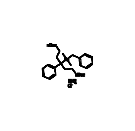 CCCCCCCCCCCC[C](CCCCCCCCCCCC)(c1ccccc1)[Sn]([CH3])([CH3])[CH2]c1ccccc1.[Cl-].[NH4+]